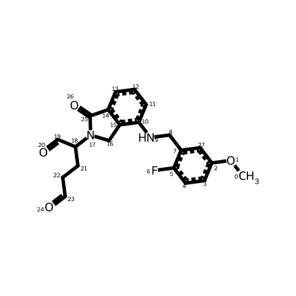 COc1ccc(F)c(CNc2cccc3c2CN(C(C=O)CCC=O)C3=O)c1